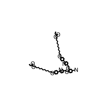 C=CC(=O)OCCCCCCCCCCCOc1ccc(-c2ccc(COc3ccc(C#N)cc3OCc3ccc(-c4ccc(OCCCCCCCCCCCOC(=O)C=C)cc4)nc3)cn2)cc1